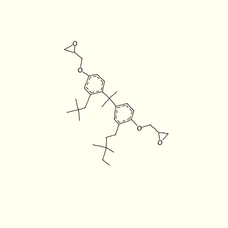 CCC(C)(C)CCc1cc(C(C)(C)c2ccc(OCC3CO3)cc2CC(C)(C)C)ccc1OCC1CO1